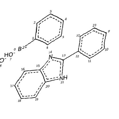 [B+2]c1ccccc1.[OH-].[OH-].c1ccc(-c2nc3ccccc3[nH]2)cc1